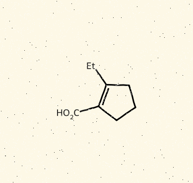 CCC1=C(C(=O)O)CCC1